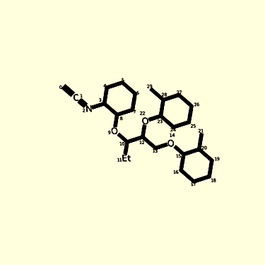 C=C=NC1CCCCC1OC(CC)C(COC1CCCCC1C)OC1CCCCC1C